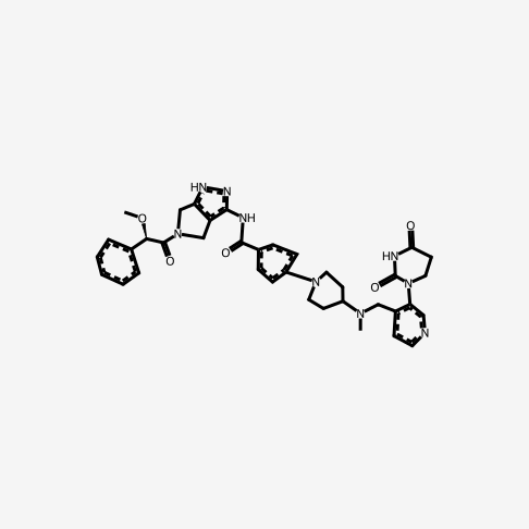 CO[C@@H](C(=O)N1Cc2[nH]nc(NC(=O)c3ccc(N4CCC(N(C)Cc5ccncc5N5CCC(=O)NC5=O)CC4)cc3)c2C1)c1ccccc1